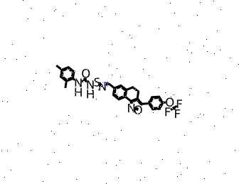 Cc1ccc(NC(=O)NS/N=C/c2ccc3c(c2)CCc2c-3noc2-c2ccc(OC(F)(F)F)cc2)c(C)c1